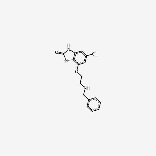 O=C1[N]c2c(cc(Cl)cc2OCCNCc2ccccc2)N1